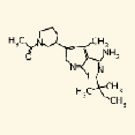 CCC(C)(C)C/N=C(/N)C1=C(C)C=C([C@@H]2CCCN(C(C)=O)C2)CN=C1I